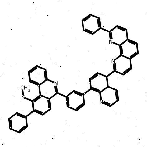 CSc1c(-c2ccccc2)ccc2c(-c3cccc(C4=C5N=CC=CC5C(c5ccc6ccc7ccc(-c8ccccc8)nc7c6n5)C=C4)c3)nc3ccccc3c12